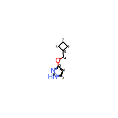 c1cc(OCC2CCC2)n[nH]1